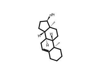 CCC[C@@H]1CC[C@H]2[C@@H]3CC=C4CCCC[C@]4(C)[C@H]3CC[C@]12C